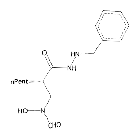 CCCCC[C@@H](CN(O)C=O)C(=O)NNCc1ccccc1